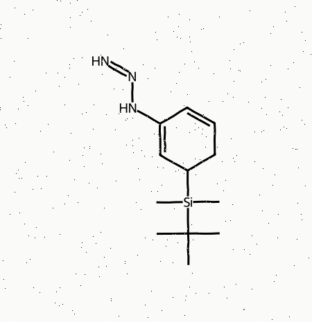 CC(C)(C)[Si](C)(C)C1C=C(NN=N)C=CC1